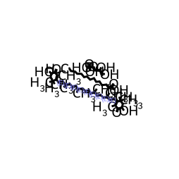 CC1=C(/C=C/C(C)=C/C=C/C(C)=C/C=C/C=C(C)/C=C/C=C(C)/C=C/C2=C(C)C(=O)C(O)CC2(C)C)C(C)(C)CC(O)C1=O.CCCCCCCCCCCCCCCC(=O)O.O=P(O)(O)OCC(O)CO